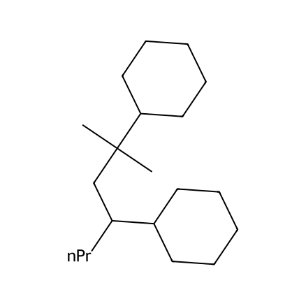 CCCC(CC(C)(C)C1CCCCC1)C1CCCCC1